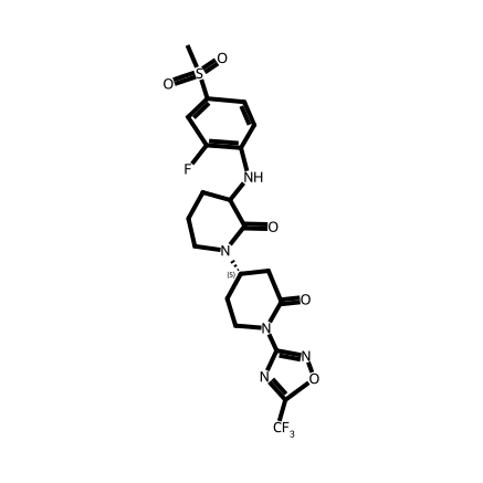 CS(=O)(=O)c1ccc(NC2CCCN([C@H]3CCN(c4noc(C(F)(F)F)n4)C(=O)C3)C2=O)c(F)c1